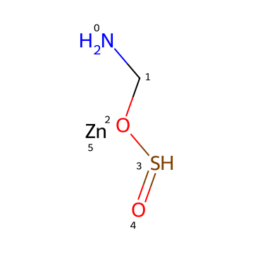 NCO[SH]=O.[Zn]